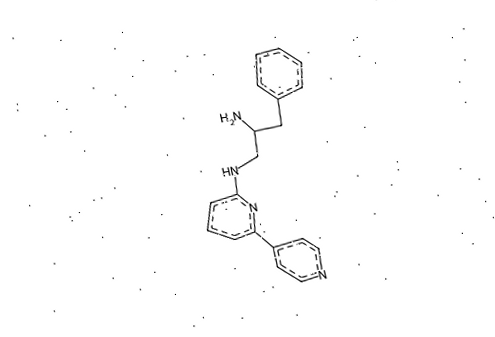 NC(CNc1cccc(-c2ccncc2)n1)Cc1ccccc1